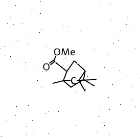 COC(=O)C1CC2C(C)CC1(C)CC2(C)C